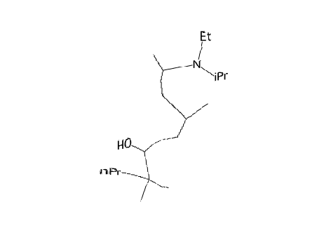 CCCC(C)(C)C(O)CC(C)CC(C)N(CC)C(C)C